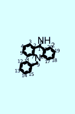 NC1c2ccccc2N(Cc2ccccc2)c2ccccc21